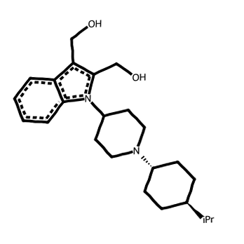 CC(C)[C@H]1CC[C@H](N2CCC(n3c(CO)c(CO)c4ccccc43)CC2)CC1